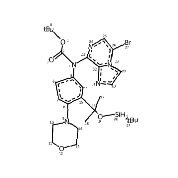 CC(C)(C)OC(=O)N(c1ccc(N2CCOCC2)c(C(C)(C)O[SiH2]C(C)(C)C)c1)c1ncc(Br)n2ccnc12